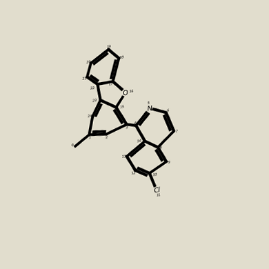 Cc1cc(-c2nccc3cc(Cl)ccc23)c2oc3ccccc3c2c1